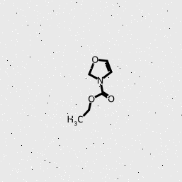 CCOC(=O)N1C=COC1